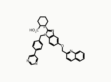 O=C(O)C1CCCC[C@H]1c1nc2cc(OCc3ccc4ccccc4n3)ccc2n1Cc1ccc(-c2cncnc2)cc1